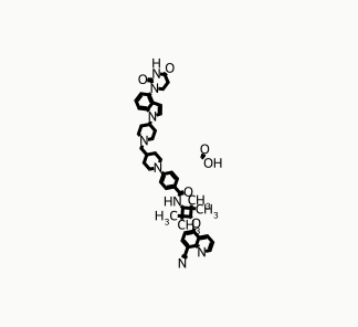 CC1(C)C(NC(=O)c2ccc(N3CCC(CN4CCC(n5ccc6c(N7CCC(=O)NC7=O)cccc65)CC4)CC3)cc2)C(C)(C)C1Oc1ccc(C#N)c2ncccc12.O=CO